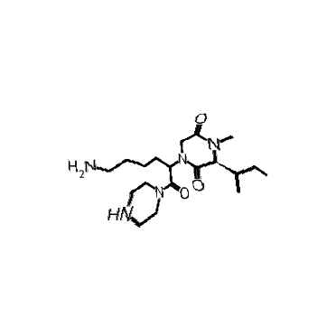 CCC(C)[C@H]1C(=O)N(C(CCCCN)C(=O)N2CCNCC2)CC(=O)N1C